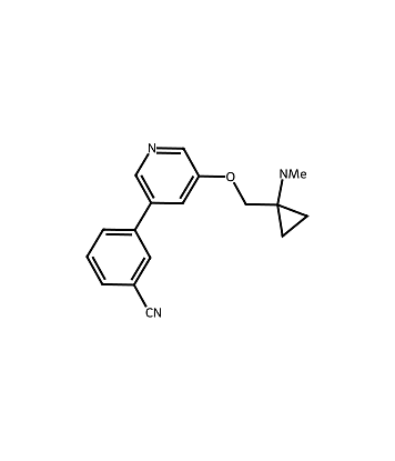 CNC1(COc2cncc(-c3cccc(C#N)c3)c2)CC1